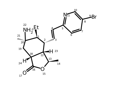 CC[C@H]1[C@H](/C=C/c2ccc(Br)cn2)[C@@H]2[C@@H](C)OC(=O)[C@@H]2C[C@@]1(C)N